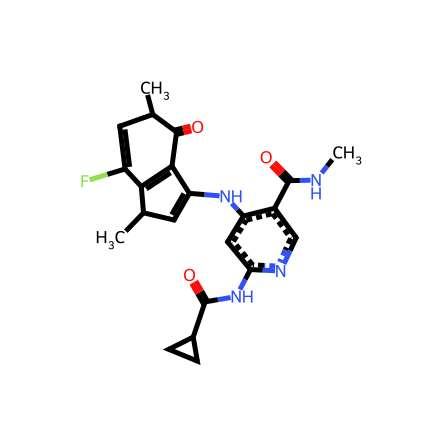 CNC(=O)c1cnc(NC(=O)C2CC2)cc1NC1=CC(C)C2=C1C(=O)C(C)C=C2F